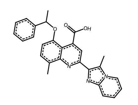 Cc1ccc(OC(C)c2ccccc2)c2c(C(=O)O)cc(-c3nc4ccccn4c3C)nc12